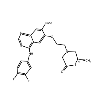 COc1cc2ncnc(Nc3ccc(F)c(Cl)c3)c2cc1OCCN1CC(=O)O[C@H](C)C1